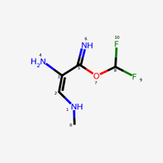 CN/C=C(/N)C(=N)OC(F)F